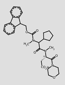 CN(C(=O)OCC1c2ccccc2-c2ccccc21)C(C(=O)N(C)[C@@H](CC(=O)O)C(=O)N1CCOCC1)C1CCCC1